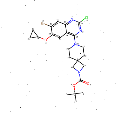 CC(C)(C)OC(=O)N1CC2(CCN(c3nc(Cl)nc4cc(Br)c(OC5CC5)cc34)CC2)C1